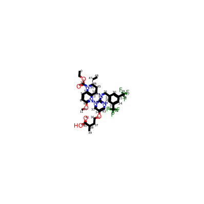 CCOC(=O)N1c2ccc(OC)nc2[C@@H](N(Cc2cc(C(F)(F)F)cc(C(F)(F)F)c2)c2ncc(OCCC(C)C(=O)O)cn2)C[C@H]1CC